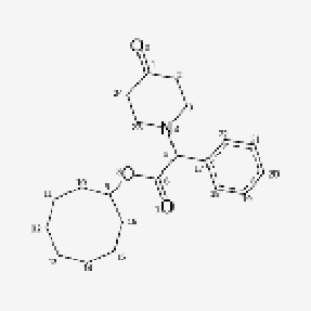 O=C1CCN(C(C(=O)OC2CCCCCCC2)c2ccccc2)CC1